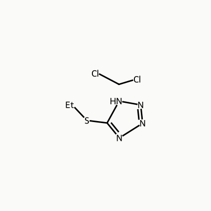 CCSc1nnn[nH]1.ClCCl